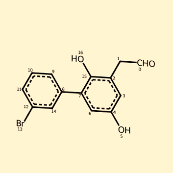 O=CCc1cc(O)cc(-c2cccc(Br)c2)c1O